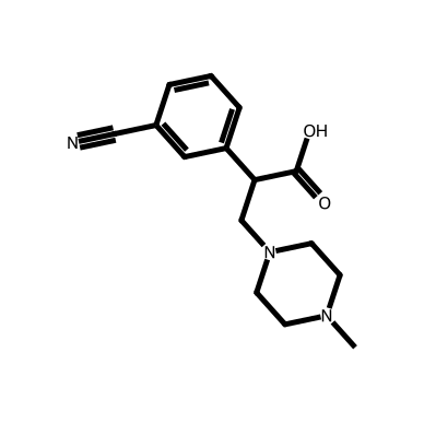 CN1CCN(CC(C(=O)O)c2cccc(C#N)c2)CC1